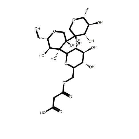 C[C@H]1OC[C@@](O)([C@@]2(O)[CH]O[C@@H](CO)[C@H](O)[C@]2(O)C2O[C@H](COC(=O)CC(=O)O)[C@@H](O)[C@H](O)[C@H]2O)[C@@H](O)[C@@H]1O